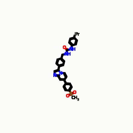 CC(C)c1ccc(NC(=O)NCc2ccc(-c3cnc4cc(-c5ccc(S(C)(=O)=O)cc5)ccn34)cc2)cc1